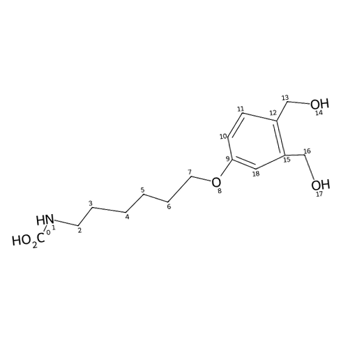 O=C(O)NCCCCCCOc1ccc(CO)c(CO)c1